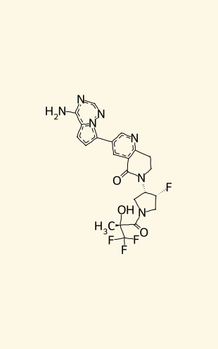 C[C@@](O)(C(=O)N1C[C@@H](F)[C@@H](N2CCc3ncc(-c4ccc5c(N)ncnn45)cc3C2=O)C1)C(F)(F)F